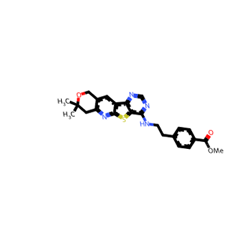 COC(=O)c1ccc(CCNc2ncnc3c2sc2nc4c(cc23)COC(C)(C)C4)cc1